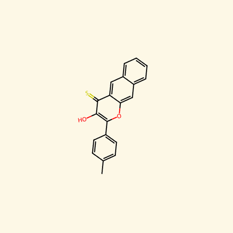 Cc1ccc(-c2oc3cc4ccccc4cc3c(=S)c2O)cc1